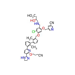 Cc1c(COc2cc(OCc3cncc(C#N)c3)c(CNC[C@@H](O)CC(=O)O)cc2Cl)cccc1-c1cccc(-c2ccc(C3=NCCN3)c(OCCCC#N)n2)c1C